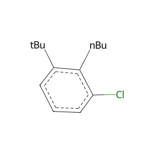 [CH2]CCCc1c(Cl)cccc1C(C)(C)C